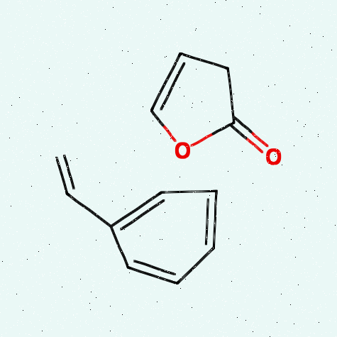 C=Cc1ccccc1.O=C1CC=CO1